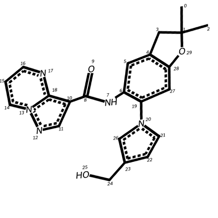 CC1(C)Cc2cc(NC(=O)c3cnn4cccnc34)c(-n3ccc(CO)c3)cc2O1